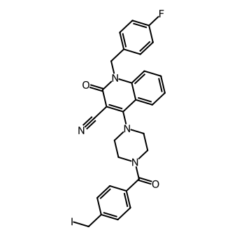 N#Cc1c(N2CCN(C(=O)c3ccc(CI)cc3)CC2)c2ccccc2n(Cc2ccc(F)cc2)c1=O